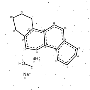 CO.[BH4-].[Na+].c1ccc2c(c1)ccc1c3c(ccc12)CCCC3